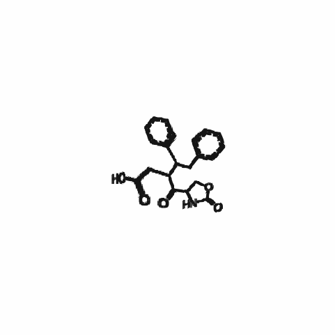 O=C(O)CC(C(=O)C1COC(=O)N1)C(Cc1ccccc1)c1ccccc1